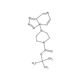 CC(C)(C)OC(=O)N1CCN([N+]23C=CN=CC2=NN=N3)CC1